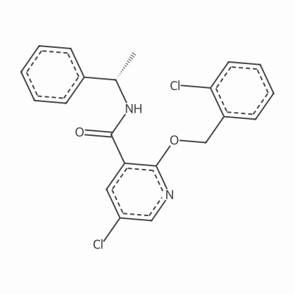 C[C@H](NC(=O)c1cc(Cl)cnc1OCc1ccccc1Cl)c1ccccc1